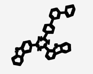 c1ccc(-c2cccc(-c3ccc(-c4nc(-c5ccc6sc7ccccc7c6c5)nc(-c5cccc6c5sc5ccccc56)n4)cc3)c2)cc1